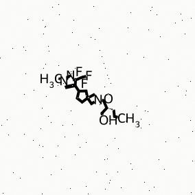 CCC[C@H](CO)C(=O)N1CC2(CCC(c3cn(C)nc3C(F)(F)F)C2)C1